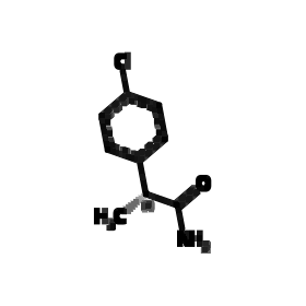 C[C@@H](C(N)=O)c1ccc(Cl)cc1